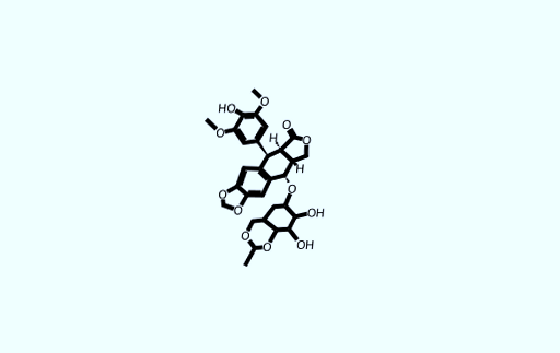 COc1cc([C@@H]2c3cc4c(cc3[C@@H](OC3CC5COC(C)OC5C(O)C3O)[C@H]3COC(=O)[C@H]23)OCO4)cc(OC)c1O